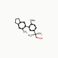 COc1ccc(C(C)(C)CO)cc1-c1cc2c(cc1C)CCC2